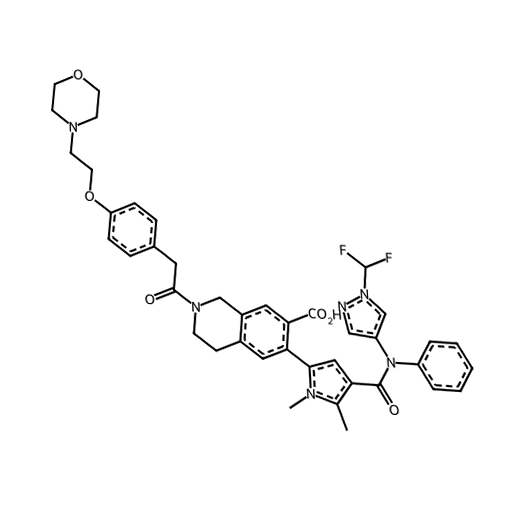 Cc1c(C(=O)N(c2ccccc2)c2cnn(C(F)F)c2)cc(-c2cc3c(cc2C(=O)O)CN(C(=O)Cc2ccc(OCCN4CCOCC4)cc2)CC3)n1C